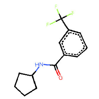 O=C(NC1CCCC1)c1cccc(C(F)(F)F)c1